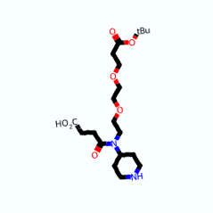 CC(C)(C)OC(=O)CCOCCOCCN(C(=O)CCC(=O)O)C1CCNCC1